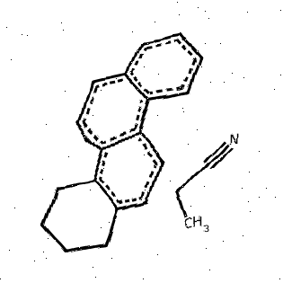 CCC#N.c1ccc2c(c1)ccc1c3c(ccc12)CCCC3